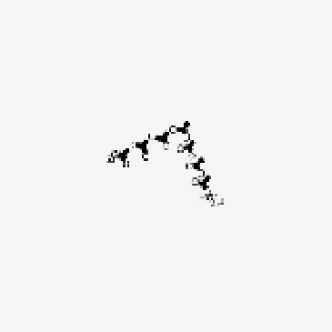 CC(=O)[O-].CC(=O)[O-].CC(=O)[O-].CC(=O)[O-].CC(=O)[O-].CC(=O)[O-].CC(=O)[O-].[OH-].[Zr+4].[Zr+4]